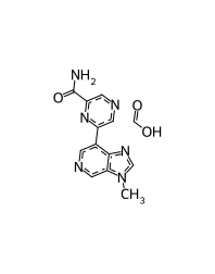 Cn1cnc2c(-c3cncc(C(N)=O)n3)cncc21.O=CO